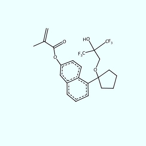 C=C(C)C(=O)Oc1ccc2c(C3(OCC(O)(C(F)(F)F)C(F)(F)F)CCCC3)cccc2c1